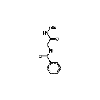 CCCCNC(=O)CNC(=O)c1ccccc1